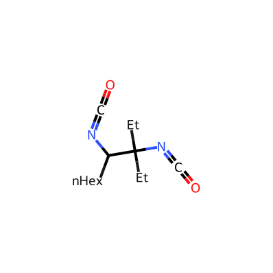 CCCCCCC(N=C=O)C(CC)(CC)N=C=O